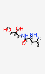 CC(C)CC(N)C(=O)NC[C@@H](O)CO